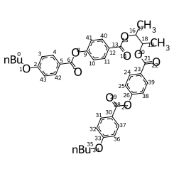 CCCCOc1ccc(C(=O)Oc2ccc(C(=O)OC(C)C(C)OC(=O)c3ccc(OC(=O)c4ccc(OCCCC)cc4)cc3)cc2)cc1